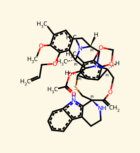 C=CCOc1c(OC)c(C)cc2c1[C@]1(C)C3[C@@H]4SC[C@]5(NCCc6c5[nH]c5ccccc65)C(=C)OC[C@@H](c5c6c(c(C)c(OC(C)=O)c54)OCO6)N3C[C@@H](C2)N1C